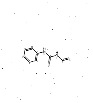 C=CNC(=O)Nc1ccccc1